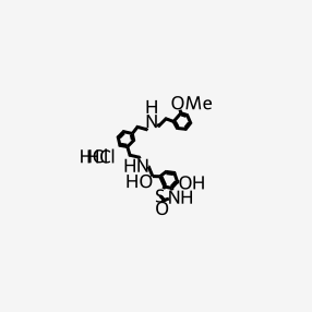 COc1ccccc1CCNCCc1cccc(CCNCC(O)c2ccc(O)c3[nH]c(=O)sc23)c1.Cl.Cl